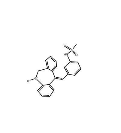 CS(=O)(=O)Nc1cccc(/C=C2\c3ccccc3C[S+]([O-])c3ccccc32)c1